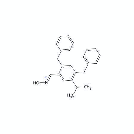 CC(C)c1cc(/C=N/O)c(Cc2ccccc2)cc1Cc1ccccc1